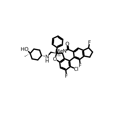 CNC(=O)c1cc2c(c(F)c1-c1c(Cl)c(F)cc3c1C[C@@](CN[C@H]1CC[C@](C)(O)CC1)(c1ccccc1)O3)CCC2F